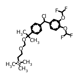 CC(C)(OCOCC[Si](C)(C)C)c1ccc(C(Cl)c2ccc(OC(F)F)c(OC(F)F)c2)cc1